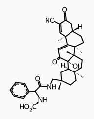 C[C@]1(CNC(=O)C(NC(=O)O)c2ccccc2)CC[C@]2(C)CC[C@@]3(C)[C@]4(C)CC[C@H]5CC(=O)C(C#N)=C[C@]5(C)C4=CC(=O)[C@]3(O)[C@@H]2C1